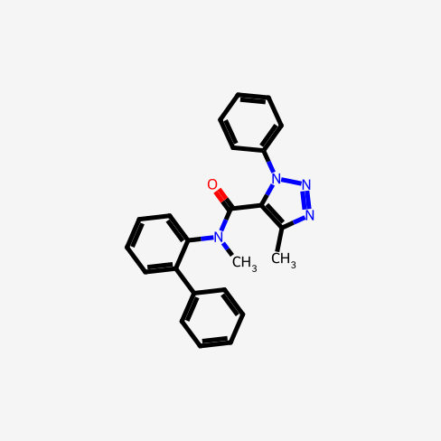 Cc1nnn(-c2ccccc2)c1C(=O)N(C)c1ccccc1-c1ccccc1